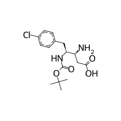 CC(C)(C)OC(=O)N[C@@H](Cc1ccc(Cl)cc1)[C@@H](N)CC(=O)O